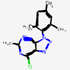 Cc1cc(C)c(-n2nnc3c(Cl)nc(C)nc32)c(C)c1